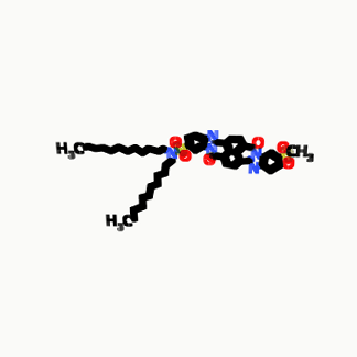 CCCCCCCCCCCCN(CCCCCCCCCCCC)S(=O)(=O)c1ccc2nc3c4ccc5c(=O)n6c7cc(S(C)(=O)=O)ccc7nc6c6ccc(c(=O)n3c2c1)c4c56